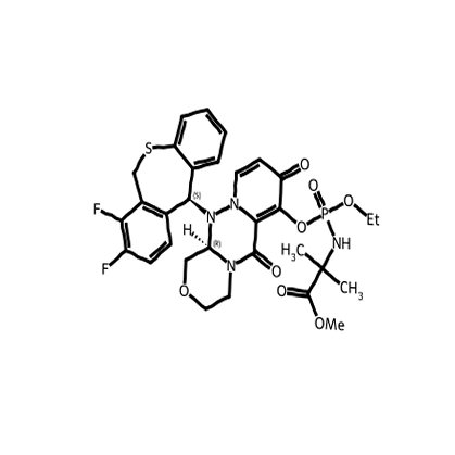 CCOP(=O)(NC(C)(C)C(=O)OC)Oc1c2n(ccc1=O)N([C@@H]1c3ccccc3SCc3c1ccc(F)c3F)[C@@H]1COCCN1C2=O